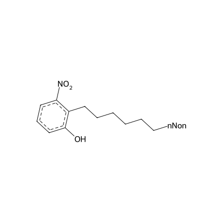 CCCCCCCCCCCCCCCc1c(O)cccc1[N+](=O)[O-]